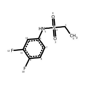 CCS(=O)(=O)Nc1ccc(F)c(F)c1